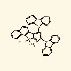 C[Si]1(C)c2nc(-n3c4ccccc4c4ccccc43)nc(-n3c4ccccc4c4ccccc43)c2-c2ccc3ccccc3c21